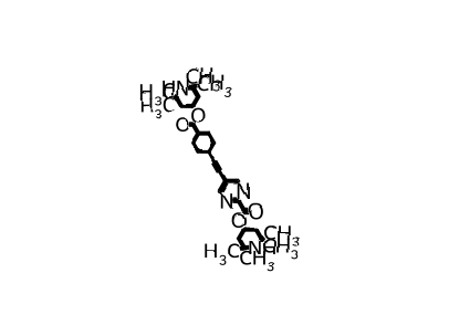 CC1(C)CC(OC(=O)c2ncc(C#CC3CCC(C(=O)OC4CC(C)(C)NC(C)(C)C4)CC3)cn2)CC(C)(C)N1